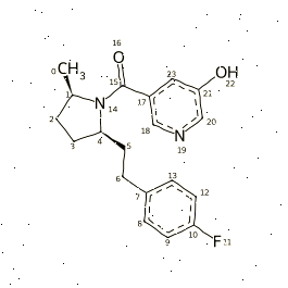 C[C@@H]1CC[C@H](CCc2ccc(F)cc2)N1C(=O)c1cncc(O)c1